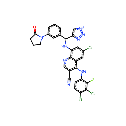 N#Cc1cnc2c(N[C@@H](c3cccc(N4CCCC4=O)c3)c3c[nH]nn3)cc(Cl)cc2c1Nc1ccc(Cl)c(Cl)c1F